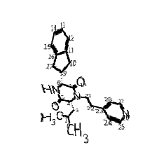 CC(C)C[C@@H]1C(=O)N[C@H](C2Cc3ccccc3C2)C(=O)N1CCc1ccncc1